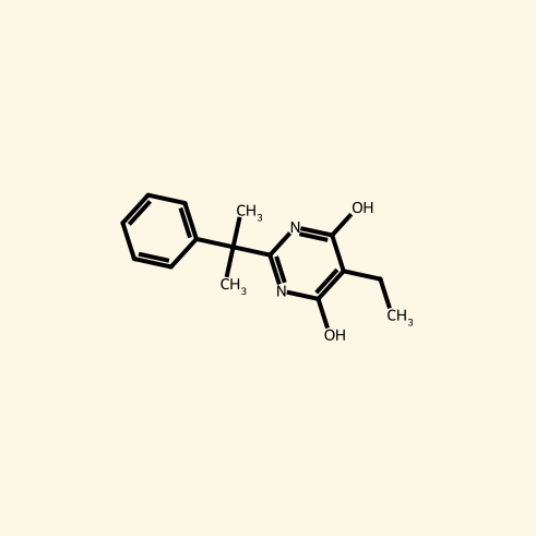 CCc1c(O)nc(C(C)(C)c2ccccc2)nc1O